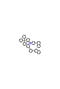 c1ccc(C2(c3ccccc3)c3ccccc3-c3c(N(c4ccc(-c5cccc6ccccc56)cc4)c4cccc(-c5cccc(-c6ccc7ccccc7c6)c5)c4)cccc32)cc1